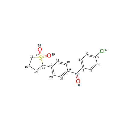 O=C(c1ccc(Cl)cc1)c1ccc(C2CCCS2(=O)=O)cc1